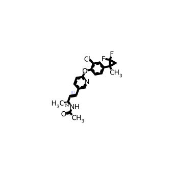 CC(=O)N[C@@H](C)/C=C/c1ccc(Oc2ccc(C3(C)CC3(F)F)cc2Cl)nc1